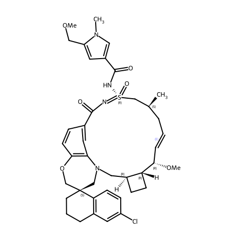 COCc1cc(C(=O)N[S@@]2(=O)=NC(=O)c3ccc4c(c3)N(C[C@@H]3CC[C@H]3[C@@H](OC)/C=C/C[C@H](C)C2)C[C@@]2(CCCc3cc(Cl)ccc32)CO4)cn1C